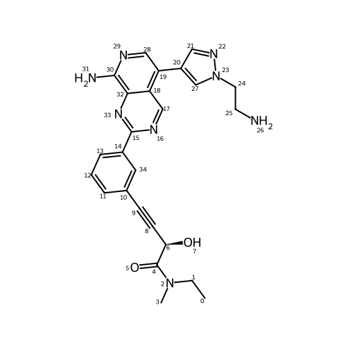 CCN(C)C(=O)[C@H](O)C#Cc1cccc(-c2ncc3c(-c4cnn(CCN)c4)cnc(N)c3n2)c1